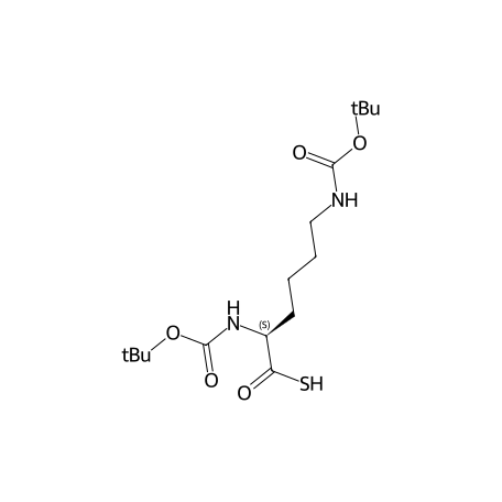 CC(C)(C)OC(=O)NCCCC[C@H](NC(=O)OC(C)(C)C)C(=O)S